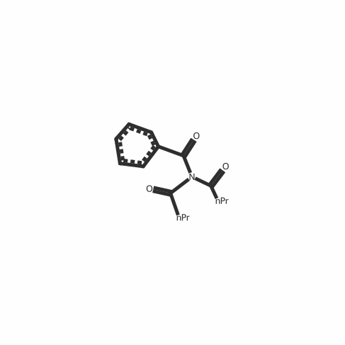 CCCC(=O)N(C(=O)CCC)C(=O)c1ccccc1